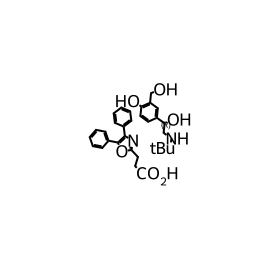 CC(C)(C)NC[C@H](O)c1ccc(O)c(CO)c1.O=C(O)CCc1nc(-c2ccccc2)c(-c2ccccc2)o1